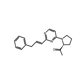 CC(=O)[C@@H]1CCCN1c1ccnc(/C=C/Cc2ccccc2)n1